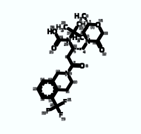 C[C@H]1CN(C[C@H](CC(=O)N2CCc3c(cccc3C(F)(F)F)C2)N(C(=O)O)C(C)(C)C)C(=O)CO1